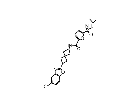 CC(C)CS(=N)(=O)c1ccc(C(=O)NC2CC3(C2)CC(c2nc4cc(Cl)ccc4o2)C3)o1